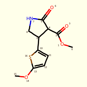 COC(=O)C1C(=O)NCC1c1ccc(OC)s1